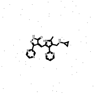 Cc1[nH]c(C=C2C(=O)NN=C2c2cnccn2)c(-c2ncccn2)c1CNC1CC1